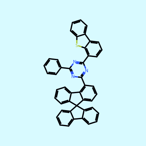 c1ccc(-c2nc(-c3cccc4c3-c3ccccc3C43c4ccccc4-c4ccccc43)nc(-c3cccc4c3sc3ccccc34)n2)cc1